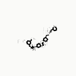 O=S(=O)(Nc1ccc(CCNCC(O)c2cccnc2)cc1)c1ccc(-c2noc(Cc3cc(C(F)(F)F)cc(C(F)(F)F)c3)n2)cc1